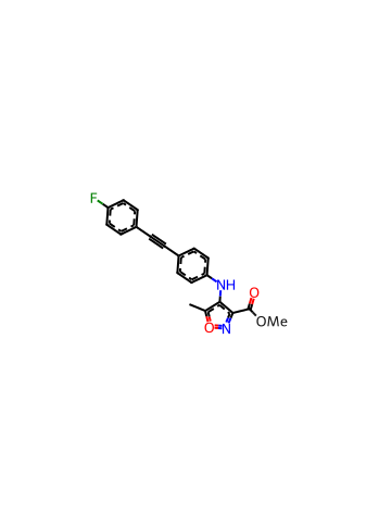 COC(=O)c1noc(C)c1Nc1ccc(C#Cc2ccc(F)cc2)cc1